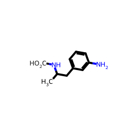 CC(Cc1cccc(N)c1)NC(=O)O